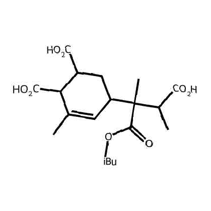 CCC(C)OC(=O)C(C)(C1C=C(C)C(C(=O)O)C(C(=O)O)C1)C(C)C(=O)O